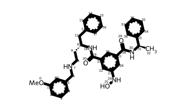 COc1cccc(CNCC[C@H](Cc2ccccc2)NC(=O)c2cc(NO)cc(C(=O)N[C@H](C)c3ccccc3)c2)c1